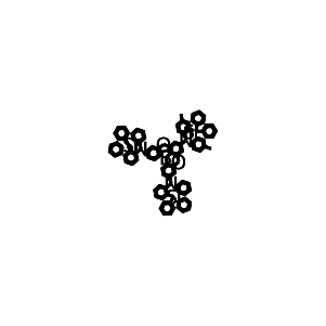 Cc1ccc2c(c1)[Si](c1ccccc1)(c1ccccc1)c1cc(C)ccc1N2c1cc2c3c(c1)Oc1cc(N4c5ccccc5[Si](c5ccccc5)(c5ccccc5)c5ccccc54)ccc1B3c1ccc(N3c4ccccc4[Si](c4ccccc4)(c4ccccc4)c4ccccc43)cc1O2